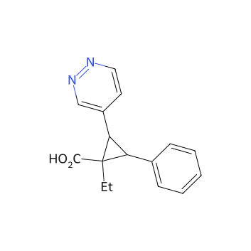 CCC1(C(=O)O)C(c2ccccc2)C1c1ccnnc1